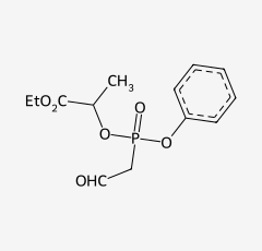 CCOC(=O)C(C)OP(=O)(CC=O)Oc1ccccc1